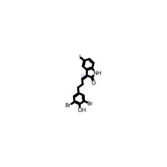 O=C1Nc2ccc(I)cc2/C1=C/CCc1cc(Br)c(O)c(Br)c1